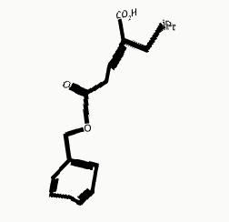 CC(C)CC(=CCC(=O)OCc1ccccc1)C(=O)O